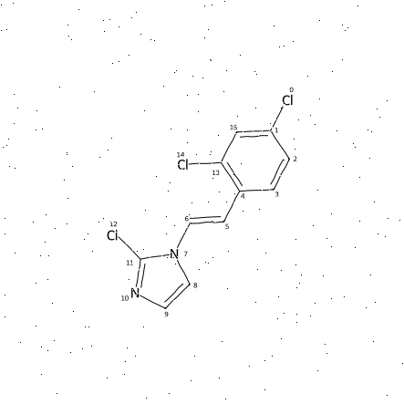 Clc1ccc(C=Cn2ccnc2Cl)c(Cl)c1